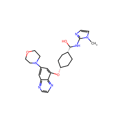 Cn1ccnc1NC(O)[C@H]1CC[C@@H](Oc2cc(N3CCOCC3)cc3nccnc23)CC1